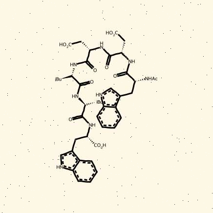 CC[C@H](C)[C@H](NC(=O)[C@H](CC(=O)O)NC(=O)[C@H](CC(=O)O)NC(=O)[C@@H](Cc1c[nH]c2ccccc12)NC(C)=O)C(=O)N[C@H](C(=O)N[C@@H](Cc1c[nH]c2ccccc12)C(=O)O)[C@@H](C)CC